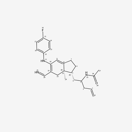 C=CCC(C[C@H]1CCC2=CC(Nc3ccc(F)cc3)=C(C=N)C[C@@]21C)NC(C)=O